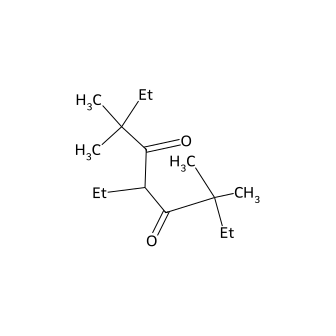 CCC(C(=O)C(C)(C)CC)C(=O)C(C)(C)CC